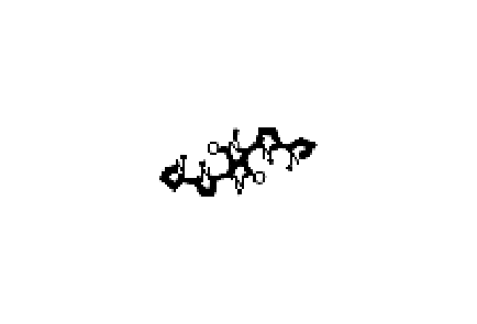 CN1C(=O)C2=C(c3ccc(-c4cccn4C)n3C)N(C)C(=O)C2=C1c1ccc(-c2cccn2C)n1C